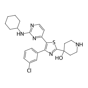 OC1(c2nc(-c3cccc(Cl)c3)c(-c3ccnc(NC4CCCCC4)n3)s2)CCNCC1